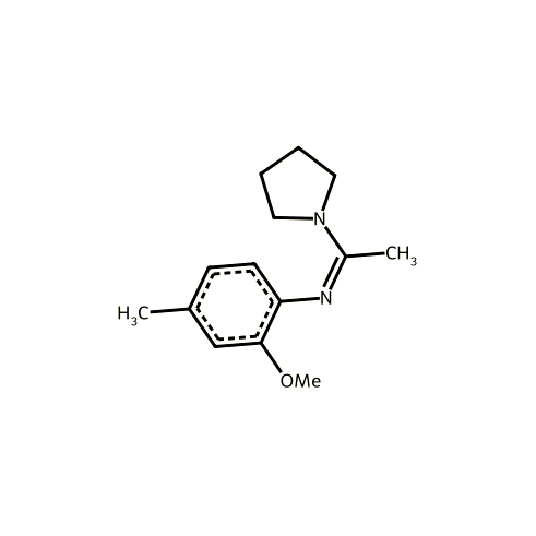 COc1cc(C)ccc1N=C(C)N1CCCC1